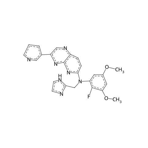 COc1cc(OC)c(F)c(N(Cc2ncc[nH]2)c2ccc3ncc(-c4cccnc4)nc3n2)c1